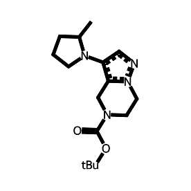 CC1CCCN1c1cnn2c1CN(C(=O)OC(C)(C)C)CC2